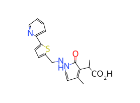 Cc1ccn(NCc2ccc(-c3ccccn3)s2)c(=O)c1C(C)C(=O)O